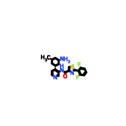 C[C@@H]1C[C@H](N)C[C@H](c2ccncc2NC(=O)c2csc(-c3c(F)cccc3F)n2)C1